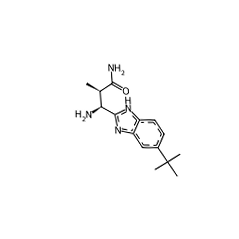 C[C@@H](C(N)=O)[C@H](N)c1nc2cc(C(C)(C)C)ccc2[nH]1